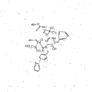 CC(C)C[C@@H](C(=O)NN(Cc1ccc(-c2ccccn2)cc1)C[C@H](O)[C@H](Cc1ccccc1)NC(=O)[C@@H]1C[C@H](NC(=O)OC(C)(C)C)C1(C)C)N(C)C(=O)O